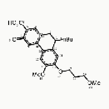 CCCCC1Cn2cc(C(=O)O)c(=O)cc2-c2cc(OC)c(OCCCOC)cc21